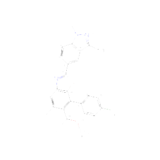 Cc1cc2nc(-c3ccc4c(c3)c(C(C)C)nn4C)sc2c(-c2ccc(Cl)cc2)c1C(OC(C)(C)C)C(=O)O